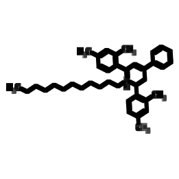 CCCCCCCCCCCC[PH]1=C(c2ccc(C)cc2C)C=C(c2ccccc2)CC1c1ccc(C)cc1C